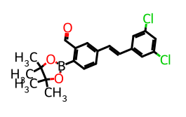 CC1(C)OB(c2ccc(/C=C/c3cc(Cl)cc(Cl)c3)cc2C=O)OC1(C)C